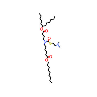 CCCCCCCCCOC(=O)CCCCCN(CCCC(=O)OC(CCCCC)CCCCCC)C(=O)SCCN(C)C